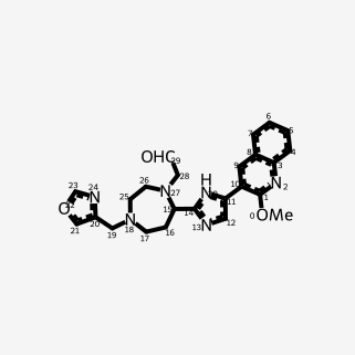 COc1nc2ccccc2cc1-c1cnc(C2CCN(Cc3cocn3)CCN2CC=O)[nH]1